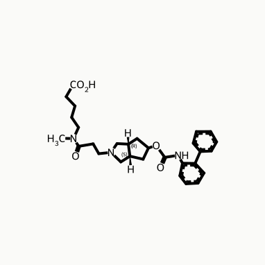 CN(CCCCC(=O)O)C(=O)CCN1C[C@H]2CC(OC(=O)Nc3ccccc3-c3ccccc3)C[C@H]2C1